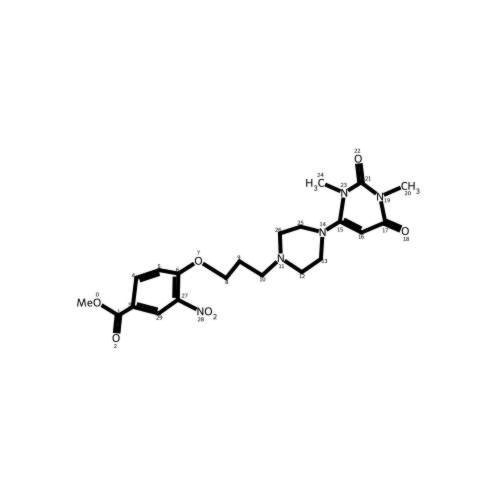 COC(=O)c1ccc(OCCCN2CCN(c3cc(=O)n(C)c(=O)n3C)CC2)c([N+](=O)[O-])c1